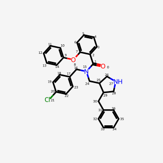 O=C(c1ccccc1Oc1ccccc1)N(Cc1ccc(Cl)cc1)CC1CNCC1Cc1ccccc1